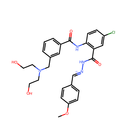 COc1ccc(/C=N/NC(=O)c2cc(Cl)ccc2NC(=O)c2cccc(CN(CCO)CCO)c2)cc1